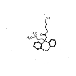 CN(C)CCC1(CC(=O)SCCCS)c2ccccc2CCc2ccccc21